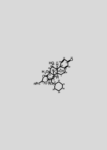 CCCC1O[C@@H]2C[C@H]3[C@@H]4CCC5=CC(=O)C=C[C@]5(C)[C@H]4[C@@H](O)C[C@]3(C)[C@]2(C(=O)CN2CCCCC2)O1